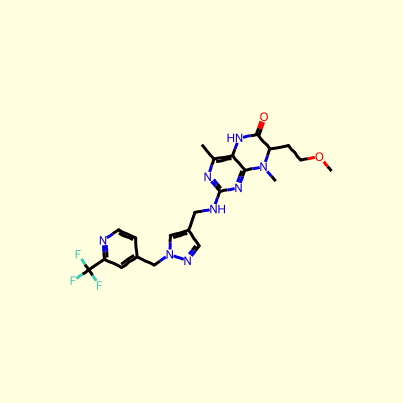 COCCC1C(=O)Nc2c(C)nc(NCc3cnn(Cc4ccnc(C(F)(F)F)c4)c3)nc2N1C